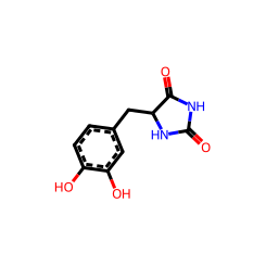 O=C1NC(=O)C(Cc2ccc(O)c(O)c2)N1